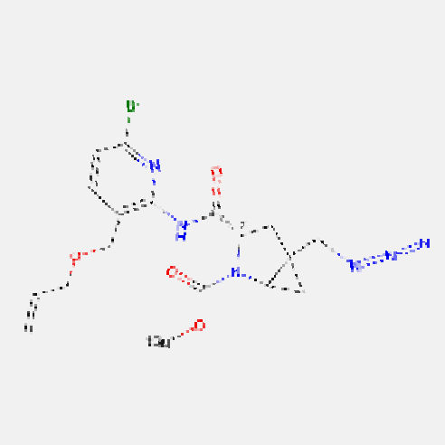 C=CCOCc1ccc(Br)nc1NC(=O)[C@@H]1CC2(CN=[N+]=[N-])CC2N1C(=O)OC(C)(C)C